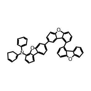 C1=CCCC(N(c2ccccc2)c2cccc3c2oc2cc(-c4ccc5oc6cccc(-c7cccc8oc9ccccc9c78)c6c5c4)ccc23)=C1